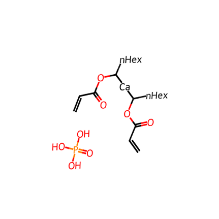 C=CC(=O)O[CH](CCCCCC)[Ca][CH](CCCCCC)OC(=O)C=C.O=P(O)(O)O